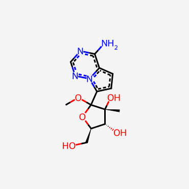 COC1(c2ccc3c(N)ncnn23)O[C@H](CO)[C@@H](O)[C@@]1(C)O